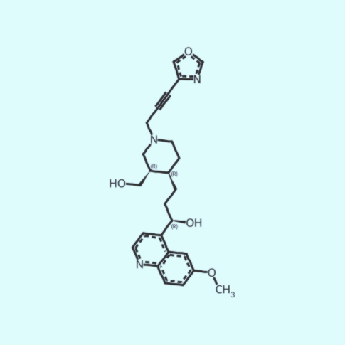 COc1ccc2nccc([C@H](O)CC[C@@H]3CCN(CC#Cc4cocn4)C[C@@H]3CO)c2c1